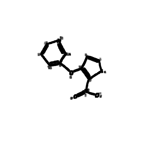 O=[N+]([O-])c1sccc1Oc1cccnc1